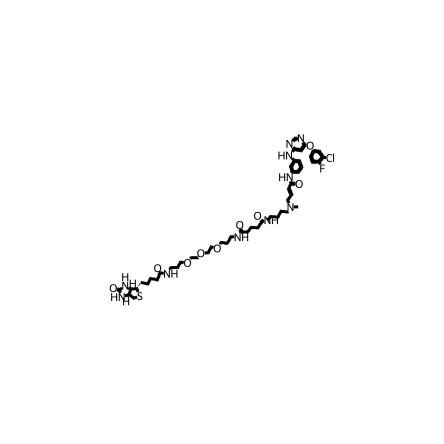 CN(C/C=C/C(=O)Nc1cccc(Nc2cc(Oc3ccc(F)c(Cl)c3)ncn2)c1)CCCCNC(=O)CCCC(=O)NCCCOCCOCCOCCCNC(=O)CCCC[C@@H]1SC[C@@H]2NC(=O)N[C@@H]21